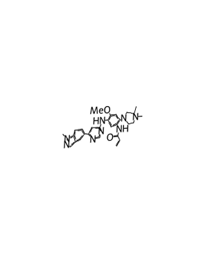 C=CC(=O)Nc1cc(Nc2cc(-c3ccc4c(cnn4C)c3)ncn2)c(OC)cc1N1CCN(C)C(C)C1